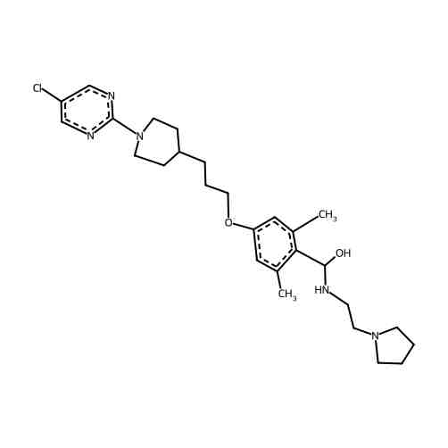 Cc1cc(OCCCC2CCN(c3ncc(Cl)cn3)CC2)cc(C)c1C(O)NCCN1CCCC1